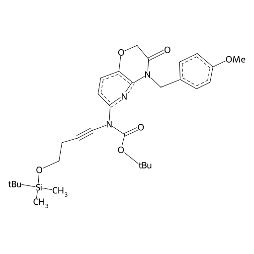 COc1ccc(CN2C(=O)COc3ccc(N(C#CCCO[Si](C)(C)C(C)(C)C)C(=O)OC(C)(C)C)nc32)cc1